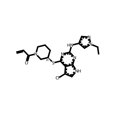 C=CC(=O)N1CCC[C@@H](Sc2nc(Nc3cnn(CC)c3)nc3[nH]cc(Cl)c23)C1